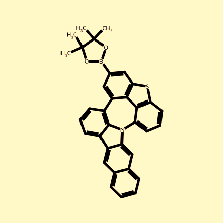 CC1(C)OB(c2cc3sc4cccc5c4c3c(c2)c2cccc3c4cc6ccccc6cc4n5c23)OC1(C)C